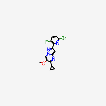 COc1cn2nc(-c3nc(Br)ccc3F)cc2nc1C1CC1